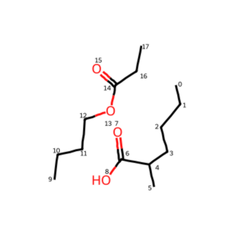 CCCCC(C)C(=O)O.CCCCOC(=O)CC